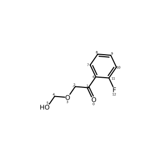 O=C([CH]OCO)c1ccccc1F